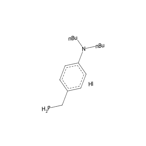 CCCCN(CCCC)c1ccc(CP)cc1.I